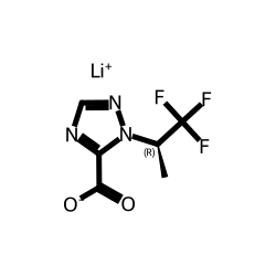 C[C@@H](n1ncnc1C(=O)[O-])C(F)(F)F.[Li+]